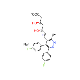 CC(C)c1nnc(-c2ccc(F)cc2)c(-c2ccc(F)cc2)c1/C=C/[C@@H](O)C[C@@H](O)CC(=O)[O-].[Na+]